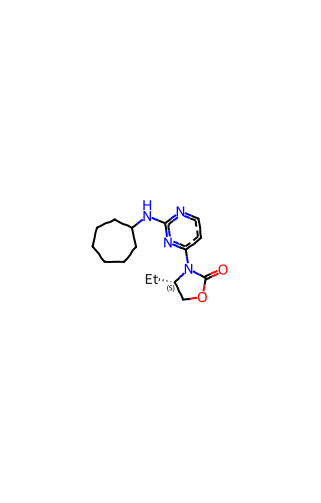 CC[C@H]1COC(=O)N1c1ccnc(NC2CCCCCC2)n1